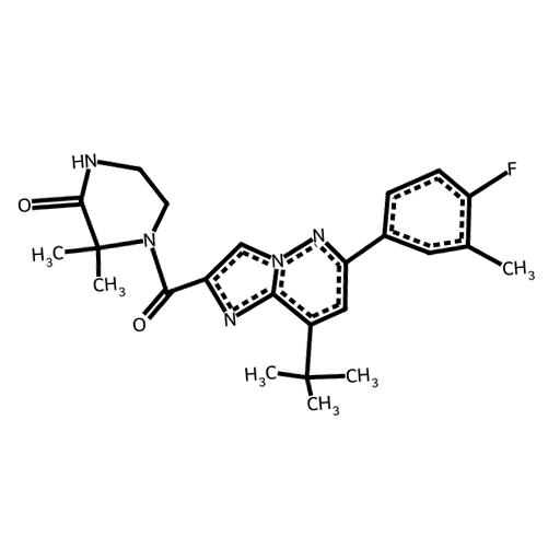 Cc1cc(-c2cc(C(C)(C)C)c3nc(C(=O)N4CCNC(=O)C4(C)C)cn3n2)ccc1F